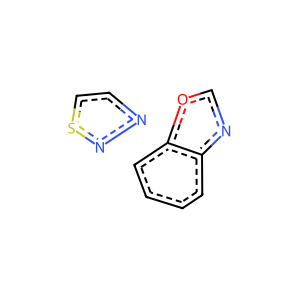 c1ccc2ocnc2c1.c1csnn1